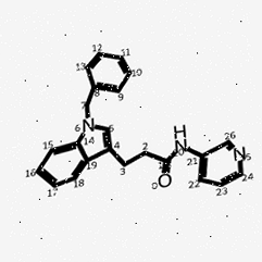 O=C(CCc1cn(Cc2ccccc2)c2ccccc12)Nc1cccnc1